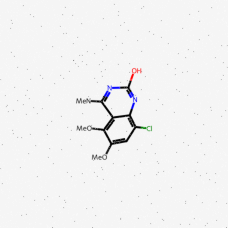 CNc1nc(O)nc2c(Cl)cc(OC)c(OC)c12